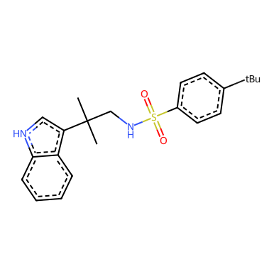 CC(C)(C)c1ccc(S(=O)(=O)NCC(C)(C)c2c[nH]c3ccccc23)cc1